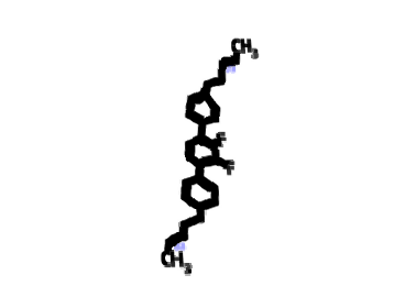 C/C=C/CCc1ccc(-c2ccc(-c3ccc(CC/C=C/C)cc3)c(F)c2F)cc1